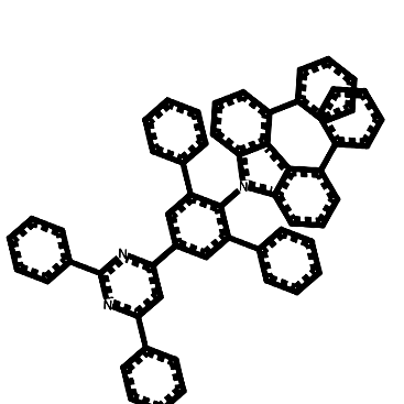 c1ccc(-c2cc(-c3cc(-c4ccccc4)c(-n4c5cccc(-c6ccccc6)c5c5c(-c6ccccc6)cccc54)c(-c4ccccc4)c3)nc(-c3ccccc3)n2)cc1